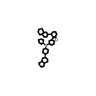 c1ccc(N(c2ccc(-c3ccc4ccccc4c3)cc2)c2ccc3oc4cccc(-c5ccc6ccccc6c5)c4c3c2)cc1